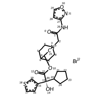 O=C(C[N+]12CCC(CC1)C(OC(=O)[C@](O)(c1ccsc1)C1CCCC1)C2)Nc1ccon1.[Br-]